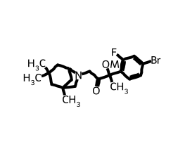 COC(C)(C(=O)CN1CC2(C)CC1CC(C)(C)C2)c1ccc(Br)cc1F